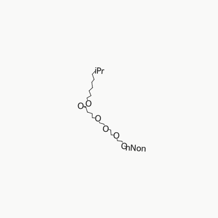 CCCCCCCCCOCCOCCOCCOCCCC(=O)OCCCCCCCC(C)C